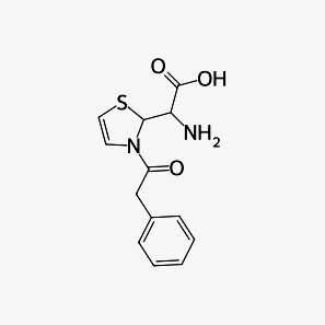 NC(C(=O)O)C1SC=CN1C(=O)Cc1ccccc1